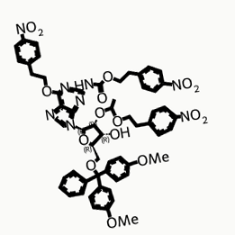 COc1ccc(C(OC[C@H]2O[C@@H](n3cnc4c(OCCc5ccc([N+](=O)[O-])cc5)nc(NC(=O)OCCc5ccc([N+](=O)[O-])cc5)nc43)[C@H](OC(C)OCCc3ccc([N+](=O)[O-])cc3)[C@@H]2O)(c2ccccc2)c2ccc(OC)cc2)cc1